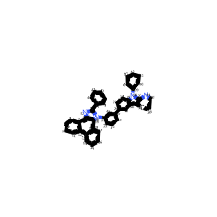 c1ccc(-c2nc3c4ccccc4c4ccccc4c3n2-c2cccc(-c3ccc4c(c3)c3cccnc3n4-c3ccccc3)c2)cc1